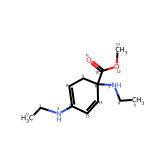 CCNC1=CCC(NCC)(C(=O)OC)C=C1